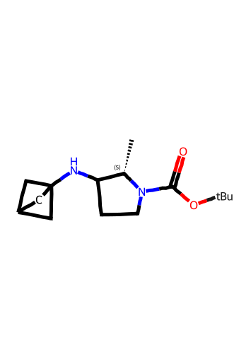 C[C@H]1C(NC23CC(C2)C3)CCN1C(=O)OC(C)(C)C